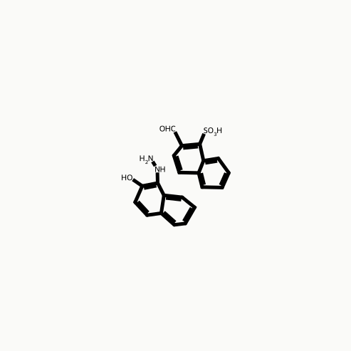 NNc1c(O)ccc2ccccc12.O=Cc1ccc2ccccc2c1S(=O)(=O)O